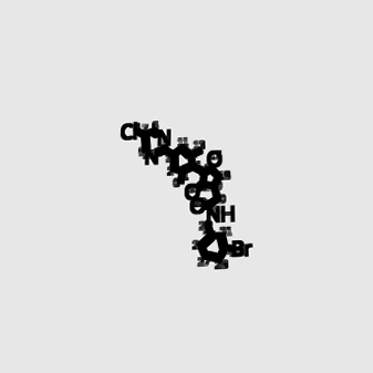 Cc1cc(-c2ncc(Cl)cn2)cc(C)c1C1C(=O)CC(CC(=O)NCc2cccc(Br)c2)C1=O